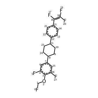 FCOc1c(F)cc(C2CCC(c3ccc(C(F)=C(F)F)cc3)CC2)cc1F